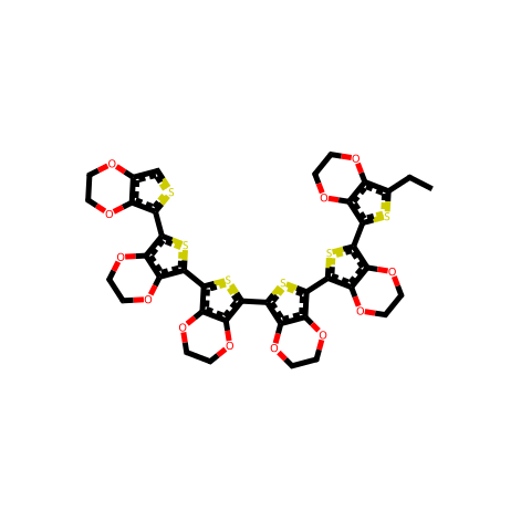 CCc1sc(-c2sc(-c3sc(-c4sc(-c5sc(-c6scc7c6OCCO7)c6c5OCCO6)c5c4OCCO5)c4c3OCCO4)c3c2OCCO3)c2c1OCCO2